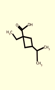 CCC1(C(=O)O)CC(C(C)C)C1